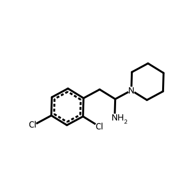 NC(Cc1ccc(Cl)cc1Cl)N1CCCCC1